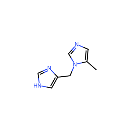 Cc1cncn1Cc1c[nH]cn1